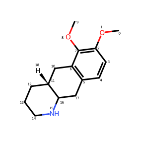 COc1ccc2c(c1OC)C[C@H]1CCCNC1C2